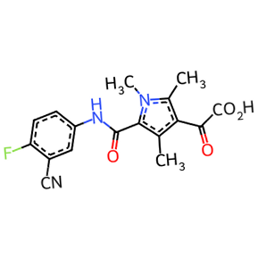 Cc1c(C(=O)C(=O)O)c(C)n(C)c1C(=O)Nc1ccc(F)c(C#N)c1